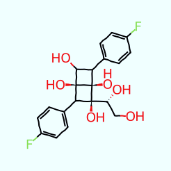 OC[C@@H](O)[C@]1(O)C(c2ccc(F)cc2)[C@]2(O)C(O)C(c3ccc(F)cc3)[C@@]21O